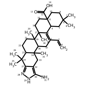 C=CC1=C2C3CC(C)(C)CCC3(C(=O)O)CCC2(C)C2(C)CCC3C(C)(C)c4n[nH]c(N)c4CC3(C)C2C1